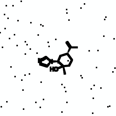 C=C(C)[C@@H]1CC[C@](C)(O)[C@@H](n2ccnc2)C1